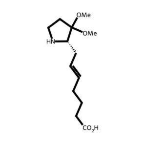 COC1(OC)CCN[C@H]1CC=CCCCC(=O)O